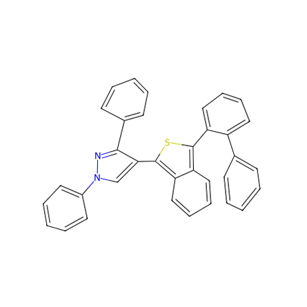 c1ccc(-c2ccccc2-c2sc(-c3cn(-c4ccccc4)nc3-c3ccccc3)c3ccccc23)cc1